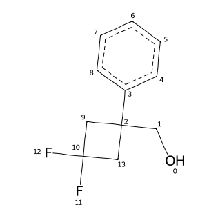 OCC1(c2ccccc2)CC(F)(F)C1